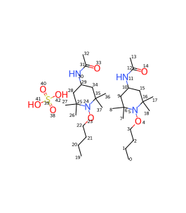 CCCCON1C(C)(C)CC(NC(C)=O)CC1(C)C.CCCCON1C(C)(C)CC(NC(C)=O)CC1(C)C.O=S(=O)(O)O